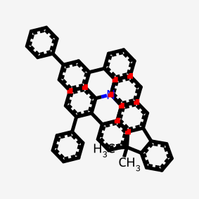 CC1(C)c2ccccc2-c2ccc(N(c3ccccc3-c3cccc(-c4ccccc4)c3)c3cccc(-c4ccccc4)c3-c3ccccc3-c3ccccc3)cc21